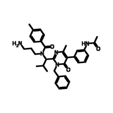 CC(=O)Nc1cccc(-c2c(C)nc(C(C(C)C)N(CCCN)C(=O)c3ccc(C)cc3)n(Cc3ccccc3)c2=O)c1